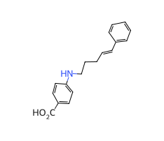 O=C(O)c1ccc(NCCCC=Cc2ccccc2)cc1